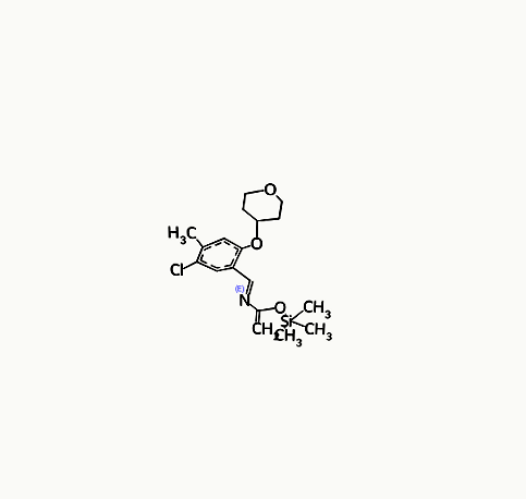 C=C(/N=C/c1cc(Cl)c(C)cc1OC1CCOCC1)O[Si](C)(C)C